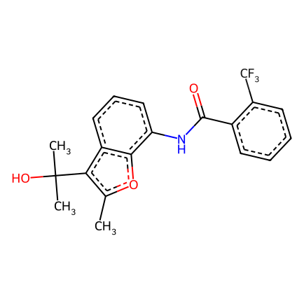 Cc1oc2c(NC(=O)c3ccccc3C(F)(F)F)cccc2c1C(C)(C)O